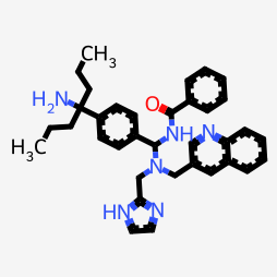 CCCC(N)(CCC)c1ccc(C(NC(=O)c2ccccc2)N(Cc2cnc3ccccc3c2)Cc2ncc[nH]2)cc1